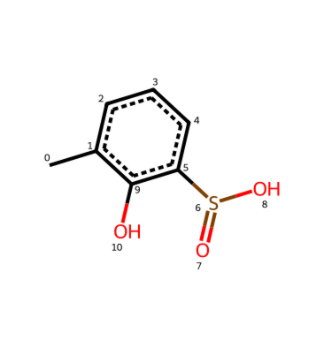 Cc1cccc(S(=O)O)c1O